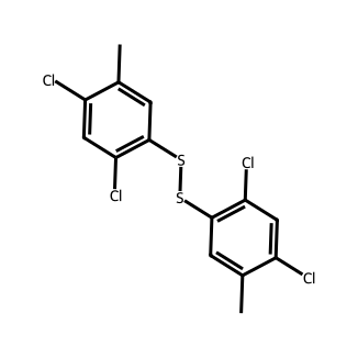 Cc1cc(SSc2cc(C)c(Cl)cc2Cl)c(Cl)cc1Cl